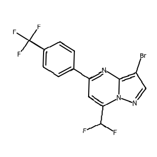 FC(F)c1cc(-c2ccc(C(F)(F)F)cc2)nc2c(Br)cnn12